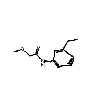 CCc1cccc(NC(=O)COC)c1